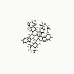 Cc1cc2c(cc1N1c3cc4oc5ccccc5c4c4c3B(c3ccc5c(sc6ccccc65)c31)N(c1ccc3c(c1)C(C)(C)CCC3(C)C)c1cc3c(cc1-4)C(C)(C)CCC3(C)C)C(C)(C)CCC2(C)C